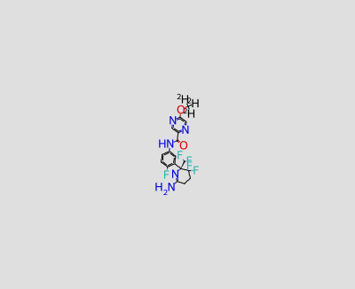 [2H]C([2H])([2H])Oc1cnc(C(=O)Nc2ccc(F)c([C@@]3(C(F)F)N=C(N)CCC3(F)F)c2)cn1